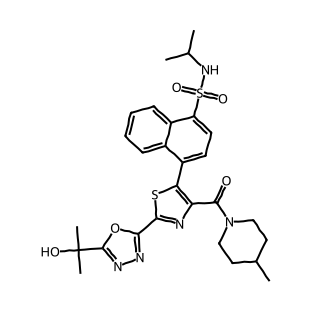 CC1CCN(C(=O)c2nc(-c3nnc(C(C)(C)O)o3)sc2-c2ccc(S(=O)(=O)NC(C)C)c3ccccc23)CC1